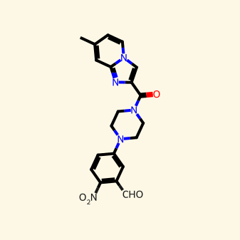 Cc1ccn2cc(C(=O)N3CCN(c4ccc([N+](=O)[O-])c(C=O)c4)CC3)nc2c1